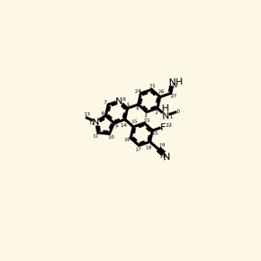 CNc1cc(-c2ncc3c(ccn3C)c2-c2ccc(C#N)c(F)c2)ccc1C=N